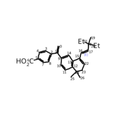 C=C(c1ccc(C(=O)O)cc1)c1ccc2c(c1)C(/C=C/C(C)(CC)CC)=CCC2(C)C